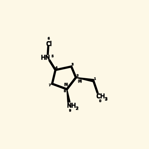 CC[C@@H]1CC(NCl)C[C@@H]1N